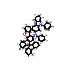 Fc1cccc2c1-c1ccccc1C21c2ccccc2-c2c1cc(N(c1ccccc1)c1ccc3c4ccccc4n(-c4ccccc4)c3c1)c1c2oc2ccccc21